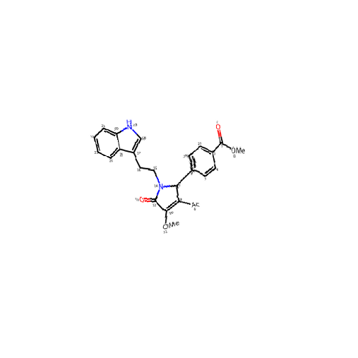 COC(=O)c1ccc(C2C(C(C)=O)=C(OC)C(=O)N2CCc2c[nH]c3ccccc23)cc1